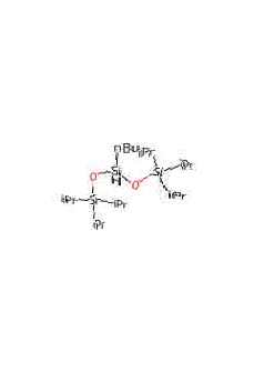 CCCC[SiH](O[Si](C(C)C)(C(C)C)C(C)C)O[Si](C(C)C)(C(C)C)C(C)C